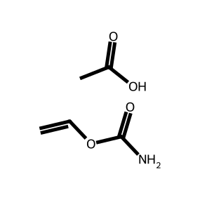 C=COC(N)=O.CC(=O)O